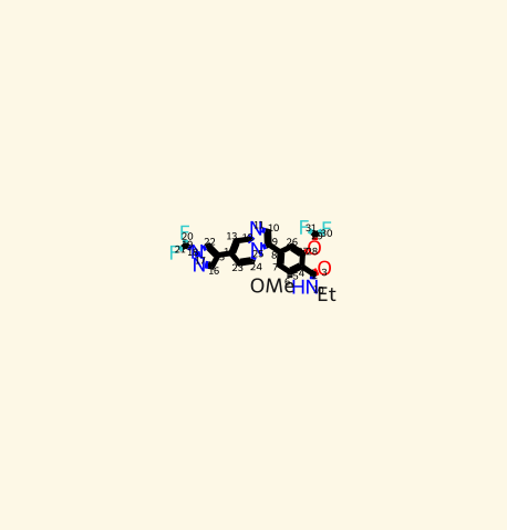 CCNC(=O)c1c(OC)cc(-c2cnc3cc(-c4cnn(C(F)F)c4)ccn23)cc1OC(F)F